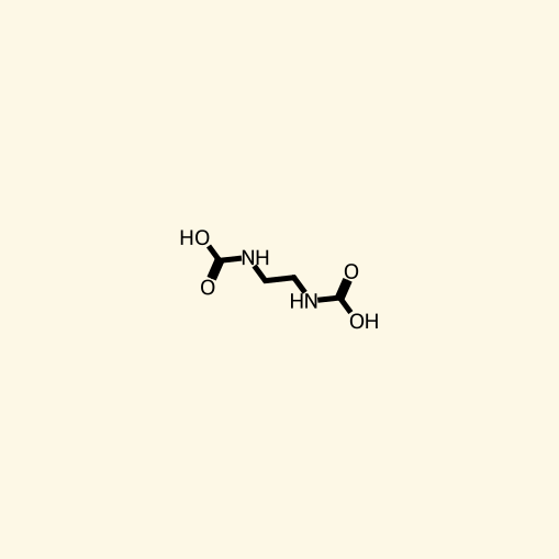 O=C(O)NCCNC(=O)O